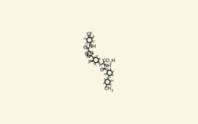 Cc1ccc(-c2cccc(C(=O)NC(Cc3ccc(-c4noc(C(=O)Nc5ccc(C(F)(F)F)cc5)n4)c(F)c3)C(=O)O)c2)cc1